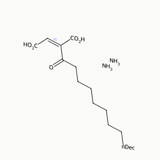 CCCCCCCCCCCCCCCCCC(=O)/C(=C\C(=O)O)C(=O)O.N.N